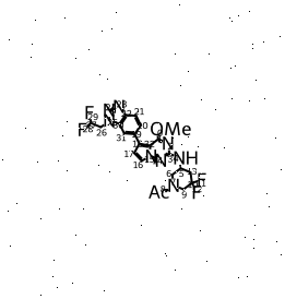 COc1nc(N[C@@H]2CN(C(C)=O)CC(F)(F)C2)nn2ccc(-c3ccc4nnn(CC(F)F)c4c3)c12